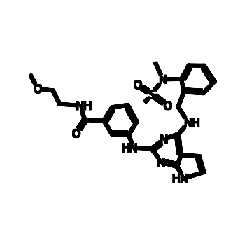 COCCNC(=O)c1cccc(Nc2nc(NCc3ccccc3N(C)S(C)(=O)=O)c3cc[nH]c3n2)c1